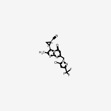 Cc1sc2nc(Cn3nc(C(F)(F)F)cc3Cl)cc(=O)n2c1[C@H]1C[C@H]1C#N